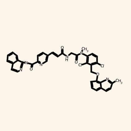 Cc1ccc2cccc(OCc3c(Cl)ccc(N(C)C(=O)CNC(=O)C=Cc4ccc(C(=O)Nc5nccc6ccccc56)nc4)c3Cl)c2n1